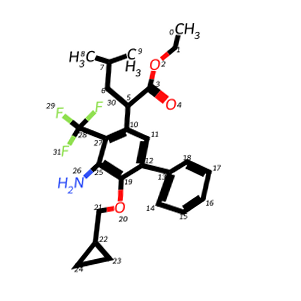 CCOC(=O)C(CC(C)C)c1cc(-c2ccccc2)c(OCC2CC2)c(N)c1C(F)(F)F